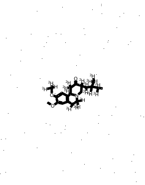 [2H]C([2H])([2H])Oc1cc2c(cc1OC)C([2H])([2H])C([2H])([2H])N1CC([2H])(C([2H])([2H])C([2H])(C([2H])([2H])[2H])C([2H])([2H])C)C(=O)C([2H])([2H])C21[2H]